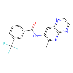 Cc1nc2nccnc2cc1NC(=O)c1cccc(C(F)(F)F)c1